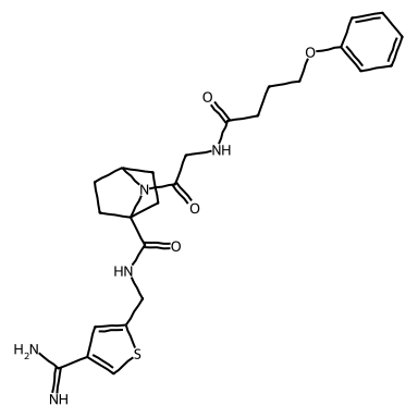 N=C(N)c1csc(CNC(=O)C23CCC(CC2)N3C(=O)CNC(=O)CCCOc2ccccc2)c1